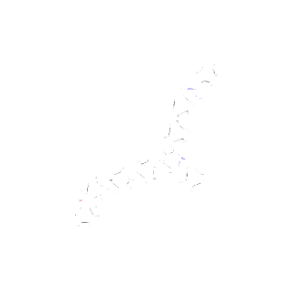 Cn1c(-c2ccccc2)nc2ccc(-c3ccc(-c4cc(-c5ccc(-c6ccc(-c7ccc8oc9ccccc9c8c7)cc6)cc5)cc(-c5ccccc5)n4)cc3)cc21